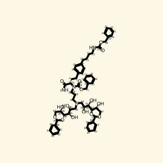 NC(=O)[C@H](CCc1ccc(CCCCNC(=O)OCc2ccccc2)cc1)N(CCCN(C[C@H](O)[C@@H](O)[C@@H]1OC(c2ccccc2)OC[C@H]1O)C[C@H](O)[C@@H](O)[C@@H]1OC(c2ccccc2)OC[C@H]1O)C(=O)OCc1ccccc1